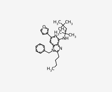 CCCCc1nc2c(NC(C)(C)CC(C)(C)C)nc(-c3ccoc3)cc2n1Cc1ccccc1